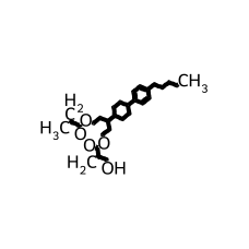 C=C(C)C(=O)OCCC(CCOC(=O)C(=C)CO)C1CCC(c2ccc(CCCCC)cc2)CC1